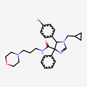 O=C(NCCCN1CCOCC1)C1(c2ccccc2)N=CN(CC2CC2)C1c1ccc(Cl)cc1